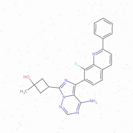 CC1(O)CC(c2nc(-c3ccc4ccc(-c5ccccc5)nc4c3F)c3c(N)ncnn23)C1